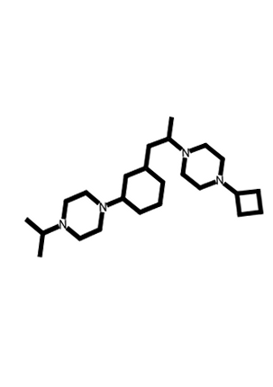 CC(C)N1CCN(C2CCCC(CC(C)N3CCN(C4CCC4)CC3)C2)CC1